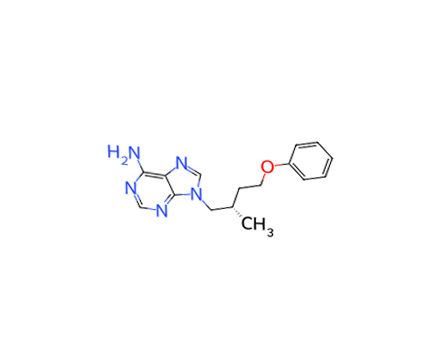 C[C@@H](CCOc1ccccc1)Cn1cnc2c(N)ncnc21